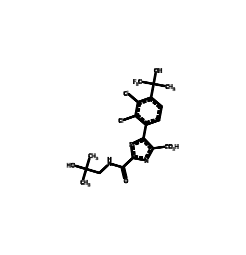 CC(C)(O)CNC(=O)c1nc(C(=O)O)c(-c2ccc(C(C)(O)C(F)(F)F)c(Cl)c2Cl)s1